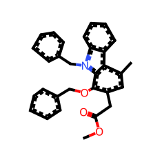 COC(=O)Cc1cc(C)c2c3ccccc3n(Cc3ccccc3)c2c1OCc1ccccc1